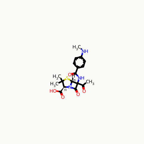 CNc1ccc(C(=O)NC2(C(C)=O)C(=O)N3[C@@H](C(=O)O)C(C)(C)S[C@@H]32)cc1